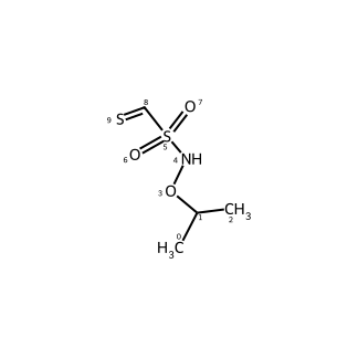 CC(C)ONS(=O)(=O)C=S